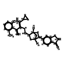 Cc1cccc(Cl)c1C(=N)/C(CO[C@@H]1C[C@@H]2C[C@H]1CN2c1ccc2c(c1)CNC2=O)=C(\O)C1CC1